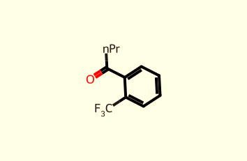 CCCC(=O)c1ccccc1C(F)(F)F